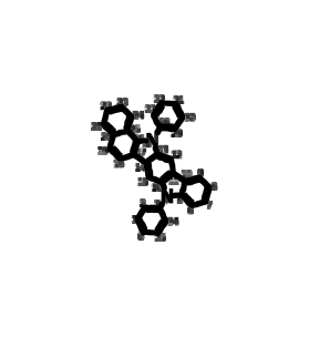 c1ccc(-n2c3ccccc3c3cc4c(cc32)c2ccc3ccccc3c2n4-c2ccccc2)cc1